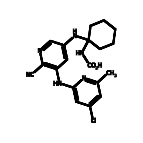 Cc1cc(Cl)cc(Nc2cc(NC3(NC(=O)O)CCCCC3)cnc2C#N)n1